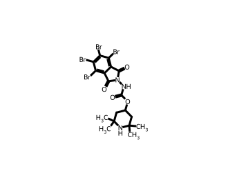 CC1(C)CC(OC(=O)NN2C(=O)c3c(Br)c(Br)c(Br)c(Br)c3C2=O)CC(C)(C)N1